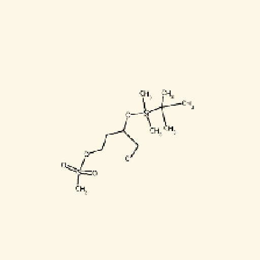 CC(C)(C)[Si](C)(C)OC(CCl)CCOS(C)(=O)=O